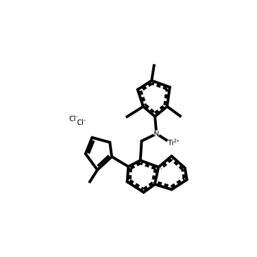 CC1=C(c2ccc3ccccc3c2C[N]([Ti+2])c2c(C)cc(C)cc2C)CC=C1.[Cl-].[Cl-]